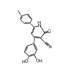 Cc1ccc(-c2cc(-c3ccc(O)c(O)c3)c(C#N)c(=O)[nH]2)cc1